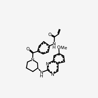 C=CC(=O)Nc1ccc(C(=O)N2CCC[C@H](Nc3ncc4ccc(OC)cc4n3)C2)cc1